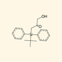 CC(C)(C)[Si](CC(=O)CO)(c1ccccc1)c1ccccc1